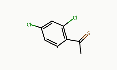 CC(=S)c1[c]cc(Cl)cc1Cl